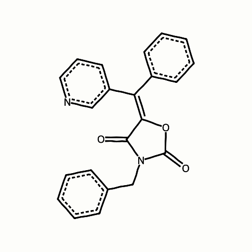 O=C1OC(=C(c2ccccc2)c2cccnc2)C(=O)N1Cc1ccccc1